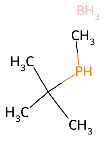 B.CPC(C)(C)C